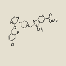 COC(=O)c1cc2c(cn1)nc(CN1CCC(c3nccnc3OCc3ccc(Cl)cc3F)CC1)n2C